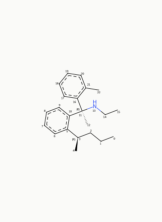 CCC[C@@H](C)c1ccccc1[C@](C)(NCC)c1ccccc1C